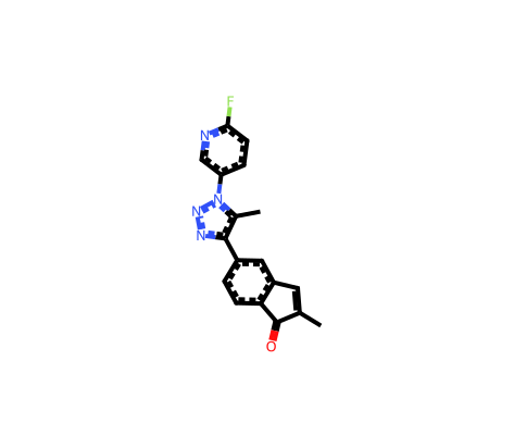 CC1=Cc2cc(-c3nnn(-c4ccc(F)nc4)c3C)ccc2C1=O